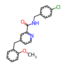 COc1ccccc1Cc1ccnc(C(=O)NCc2ccc(Cl)cc2)c1